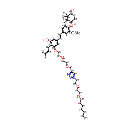 COc1cc(/C=C/c2cc(O)c(CC=C(C)C)c(OCCOCCOCc3cn(CCOCCOCCCCCCCl)nn3)c2)cc2c1O[C@]1(C)CC[C@@H](O)C(C)(C)[C@H]1C2